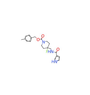 Cc1ccc(COC(=O)N2CCC(F)(CNC(=O)c3cc[nH]c3)CC2)cc1